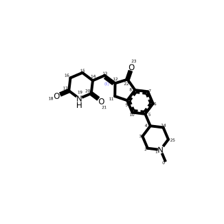 CN1CCC(c2ccc3c(c2)C/C(=C\C2CCC(=O)NC2=O)C3=O)CC1